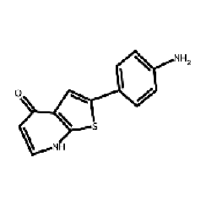 Nc1ccc(-c2cc3c(=O)cc[nH]c3s2)cc1